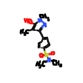 Cc1c(-c2ccc(S(=O)(=O)N(C)C)cc2)nn(C)c1O